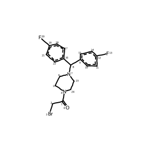 O=C(CBr)N1CCN(C(c2ccc(F)cc2)c2ccc(F)cc2)CC1